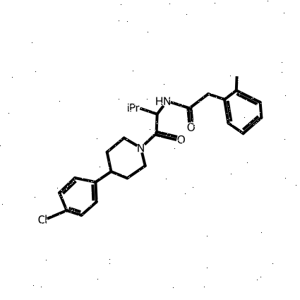 Cc1ccccc1CC(=O)NC(C(=O)N1CCC(c2ccc(Cl)cc2)CC1)C(C)C